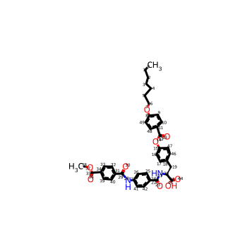 CCCCCCCOc1ccc(C(=O)Oc2ccc(C[C@H](NC(=O)c3ccc(NC(=O)c4ccc(C(=O)OC)cc4)cc3)C(=O)O)cc2)cc1